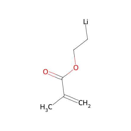 [Li][CH2]COC(=O)C(=C)C